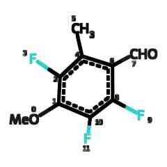 COc1c(F)c(C)c(C=O)c(F)c1F